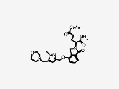 COC(=O)CCC(C(N)=O)N1Cc2c(OCc3cc(CN4CCOCC4)n(C)n3)cccc2C1=O